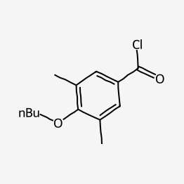 CCCCOc1c(C)cc(C(=O)Cl)cc1C